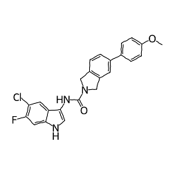 COc1ccc(-c2ccc3c(c2)CN(C(=O)Nc2c[nH]c4cc(F)c(Cl)cc24)C3)cc1